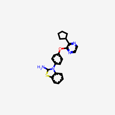 NC1Sc2ccccc2N1c1ccc(Oc2nccnc2C2CCCC2)cc1